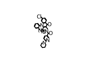 CN(C)C(=O)c1c(CNC(=O)c2ccc(N3CCCCC3)nc2)c(=O)c2ccc(Cl)cc2n1-c1ccccc1